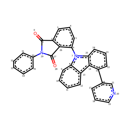 O=C1c2cccc(-n3c4ccccc4c4c(-c5cccnc5)cccc43)c2C(=O)N1c1ccccc1